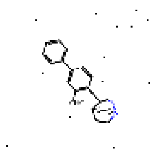 O=Cc1cc(-c2ccccc2)ccc1C1CNN2CCC1CC2